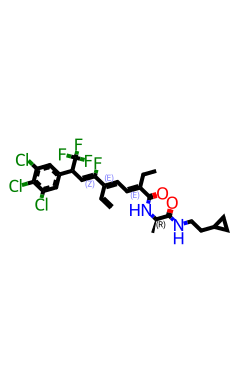 C=CC(=C\C=C(/CC)C(=O)N[C@H](C)C(=O)NCCC1CC1)/C(F)=C/C(c1cc(Cl)c(Cl)c(Cl)c1)C(F)(F)F